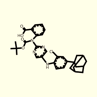 CC(C)(C)OC(=O)N(c1ncc(Nc2ccc(C34CC5CC(CC(C5)C3)C4)cc2Cl)cn1)c1ccccc1C(=O)O